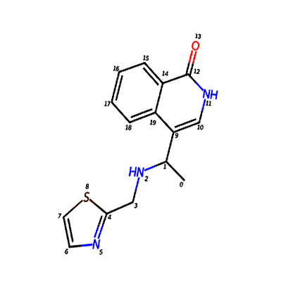 CC(NCc1nccs1)c1c[nH]c(=O)c2ccccc12